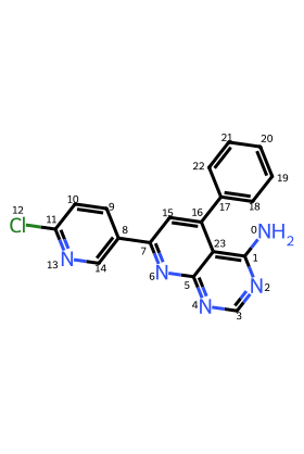 Nc1ncnc2nc(-c3ccc(Cl)nc3)cc(-c3ccccc3)c12